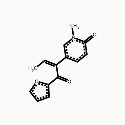 C/C=C(\C(=O)c1ccco1)c1ccc(=O)n(C)c1